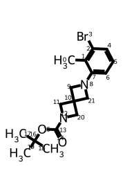 Cc1c(Br)cccc1N1CC2(CN(C(=O)OC(C)(C)C)C2)C1